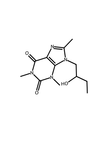 CCC(O)Cn1c(C)nc2c(=O)n(C)c(=O)n(C)c21